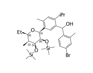 CC[C@H]1O[C@@H](c2cc(C(O)c3ccc(Br)cc3C)c(C(C)C)cc2C)[C@@H](O[Si](C)(C)C)[C@@H](O[Si](C)(C)C)[C@H]1C